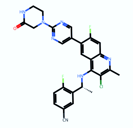 Cc1nc2cc(F)c(-c3cnc(N4CCNC(=O)C4)nc3)cc2c(N[C@H](C)c2cc(C#N)ccc2F)c1Cl